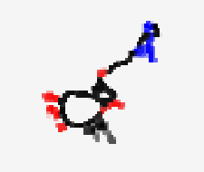 CC1OC(=O)c2c(O)cc(OCCCCNCc3ncc[nH]3)cc2/C=C/CC(O)[C@H](O)C(=O)/C=C\[C@H]1C